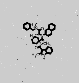 Cc1[nH]c2ccccc2c1C(=O)N(C)C1(C(=O)N(c2ccc3ccccc3c2)[C@@H](C)C(=O)N(C)Cc2ccccc2)CCCCC1